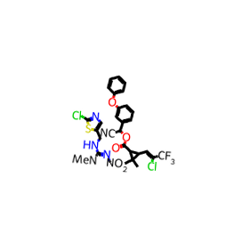 CC1(C)C(/C=C(\Cl)C(F)(F)F)C1C(=O)OC(C#N)c1cccc(Oc2ccccc2)c1.CNC(=N[N+](=O)[O-])NCc1cnc(Cl)s1